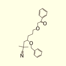 CC(C)(C#N)CC(CCCOCC(=O)c1ccccc1)OCc1ccccc1